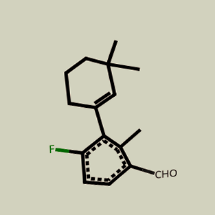 Cc1c(C=O)ccc(F)c1C1=CC(C)(C)CCC1